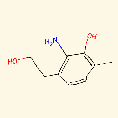 Cc1ccc(CCO)c(N)c1O